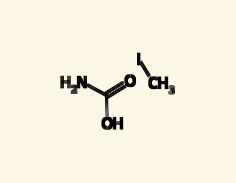 CI.NC(=O)O